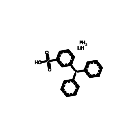 O=S(=O)(O)c1cccc(P(c2ccccc2)c2ccccc2)c1.P.[LiH]